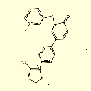 O=c1ccc(-c2cnc(N3CCCC3C(F)(F)F)nc2)nn1Cc1cncc(F)c1